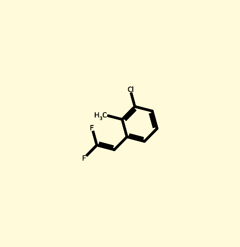 Cc1c(Cl)cccc1C=C(F)F